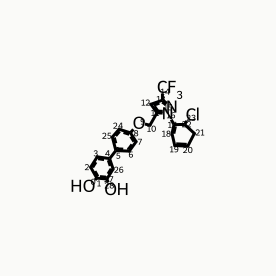 Oc1ccc(-c2ccc(OCc3cc(C(F)(F)F)nn3C3=CC=CCC3Cl)cc2)cc1O